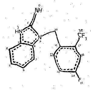 N=c1[nH]c2ccccc2n1Cc1ccc(F)cc1C(F)(F)F